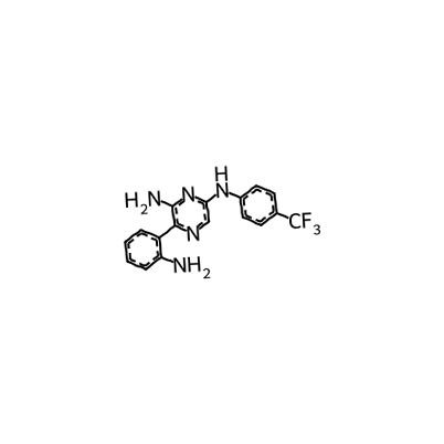 Nc1ccccc1-c1ncc(Nc2ccc(C(F)(F)F)cc2)nc1N